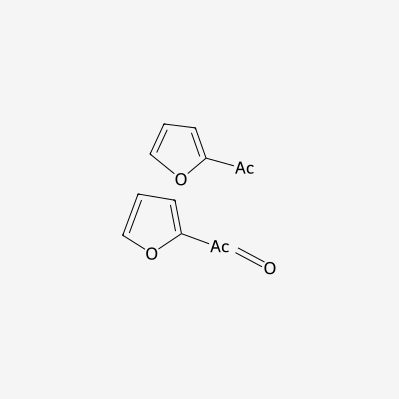 C=O.CC(=O)c1ccco1.CC(=O)c1ccco1